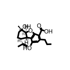 C=C(C)[C@@H]1CC[C@](C)(O)[C@H]2Oc3c(C(=O)O)c(CCC)cc(O)c3[C@@H]12